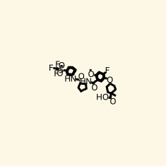 COc1cc(F)c(OC2CCC(C)(C(=O)O)CC2)cc1C(=O)N[C@@H]1CCC[C@@H]1C(=O)Nc1cccc(S(=O)(=O)C(F)(F)F)c1